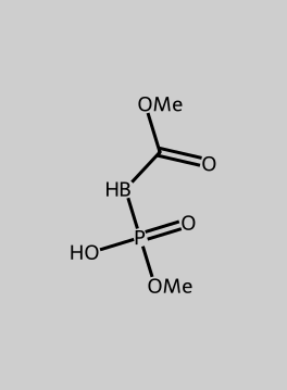 COC(=O)BP(=O)(O)OC